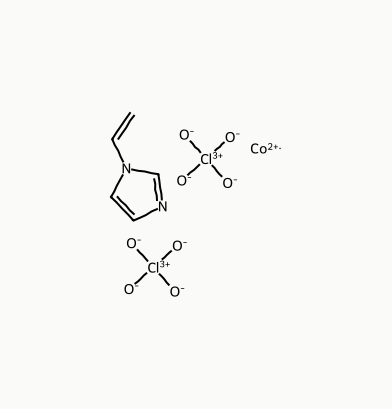 C=Cn1ccnc1.[Co+2].[O-][Cl+3]([O-])([O-])[O-].[O-][Cl+3]([O-])([O-])[O-]